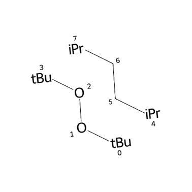 CC(C)(C)OOC(C)(C)C.CC(C)CCC(C)C